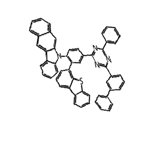 c1ccc(-c2cccc(-c3nc(-c4ccccc4)nc(-c4ccc(-n5c6ccccc6c6cc7ccccc7cc65)c(-c5cccc6c5sc5ccccc56)c4)n3)c2)cc1